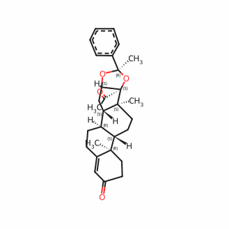 CC(=O)[C@@]12O[C@](C)(c3ccccc3)O[C@H]1C[C@H]1[C@@H]3CCC4=CC(=O)CC[C@]4(C)[C@H]3CC[C@@]12C